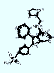 NS(=O)(=O)c1ccc(-c2oc3ncnc(NCC4CCCO4)c3c2-c2ccccc2)cc1